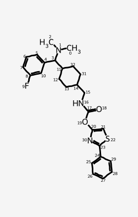 CN(C)C(c1cccc(F)c1)C1CCC(CNC(=O)Oc2csc(-c3ccccc3)n2)CC1